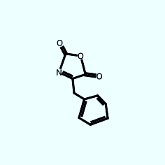 O=C1N=C(Cc2ccccc2)C(=O)O1